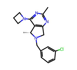 Cc1nc2c(c(N3CCC3)n1)[C@@H](C)N(Cc1cccc(Cl)c1)C2